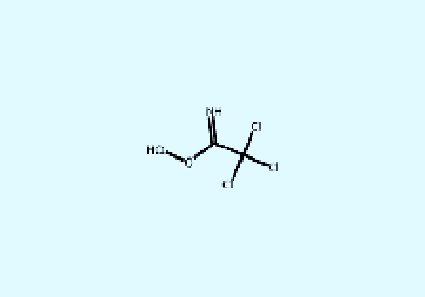 N=C(OO)C(Cl)(Cl)Cl